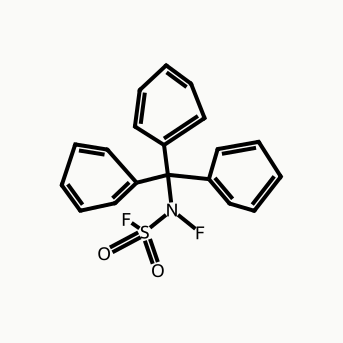 O=S(=O)(F)N(F)C(c1ccccc1)(c1ccccc1)c1ccccc1